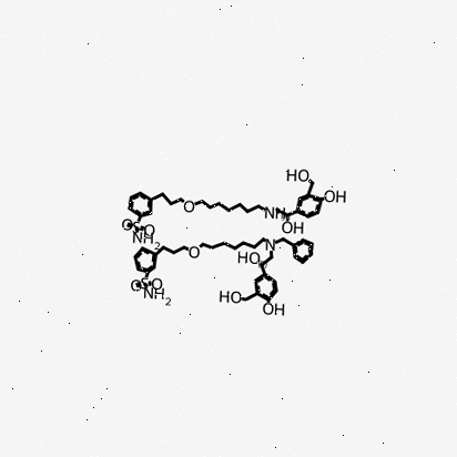 NS(=O)(=O)c1cccc(CCCOCCCCCCCN(Cc2ccccc2)C[C@H](O)c2ccc(O)c(CO)c2)c1.NS(=O)(=O)c1cccc(CCCOCCCCCCCNC[C@H](O)c2ccc(O)c(CO)c2)c1